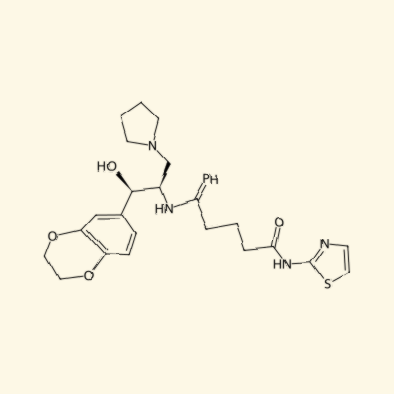 O=C(CCCC(=P)N[C@H](CN1CCCC1)[C@H](O)c1ccc2c(c1)OCCO2)Nc1nccs1